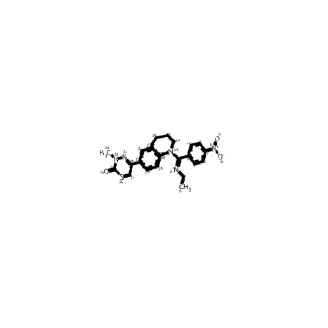 CCN=C(c1ccc([N+](=O)[O-])cc1)N1CCCc2cc(C3=NN(C)C(=O)SC3)ccc21